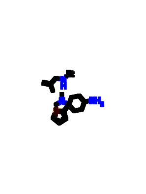 C=C(C)CNCC.CN(C)C1(c2cccs2)CCC(N)CC1